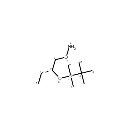 CC[C@H](CON)O[Si](C)(C)C(C)(C)C